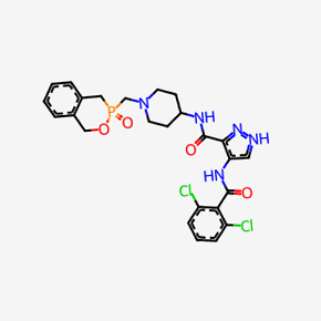 O=C(NC1CCN(CP2(=O)Cc3ccccc3CO2)CC1)c1n[nH]cc1NC(=O)c1c(Cl)cccc1Cl